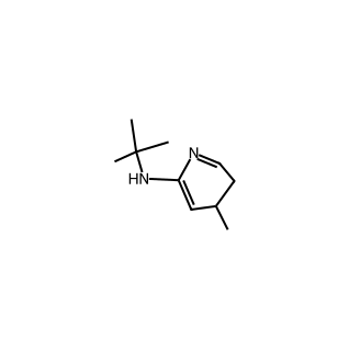 CC1C=C(NC(C)(C)C)N=CC1